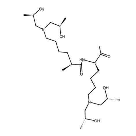 CC(=O)[C@@H](CCCCN(C[C@@H](C)O)C[C@@H](C)O)NC(=O)[C@@H](C)CCCCN(C[C@@H](C)O)C[C@@H](C)O